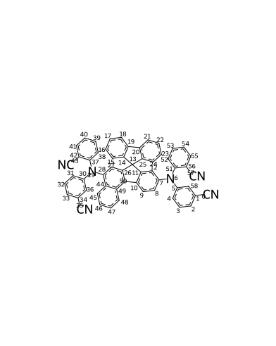 N#Cc1cccc(N(c2ccc3c(c2)C2(c4ccccc4-c4ccccc42)c2cc(N(c4cccc(C#N)c4)c4ccccc4C#N)c4ccccc4c2-3)c2ccccc2C#N)c1